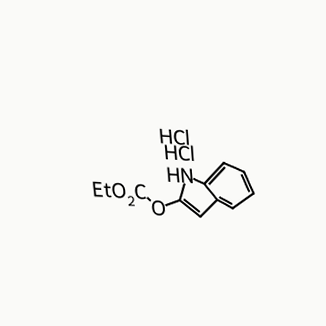 CCOC(=O)Oc1cc2ccccc2[nH]1.Cl.Cl